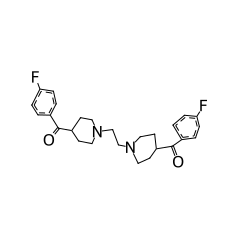 O=C(c1ccc(F)cc1)C1CCN(CCN2CCC(C(=O)c3ccc(F)cc3)CC2)CC1